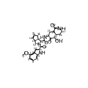 COc1cccc2[nH]c(C(=O)N3CC4C=CCC4C3C(=O)NC(CC3CCCNC3=O)C(=O)CO)cc12